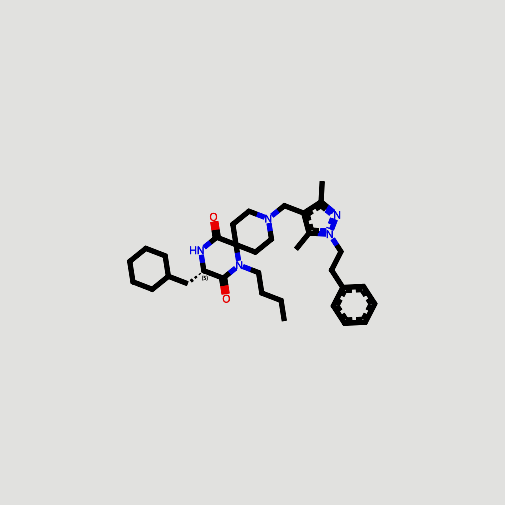 CCCCN1C(=O)[C@H](CC2CCCCC2)NC(=O)C12CCN(Cc1c(C)nn(CCc3ccccc3)c1C)CC2